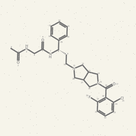 CC(=O)NCC(=O)N[C@@H](CCN1CC2CN(C(=O)c3c(F)cccc3Cl)CC2C1)c1ccccc1